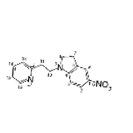 O=[N+]([O-])c1ccc2c(c1)CCN2CCc1ccccn1